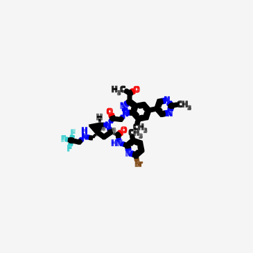 CC(=O)c1nn(CC(=O)N2[C@H](C(=O)Nc3nc(Br)ccc3C)C[C@@]3(CNCC(F)(F)F)C[C@@H]23)c2c(C)cc(-c3cnc(C)nc3)cc12